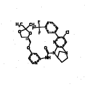 CC1(C)OC[C@H](COc2ccnc(NC(=O)N3c4nc(-c5cccc(C(F)(F)F)c5)c(Cl)cc4N4CCC3C4)c2)O1